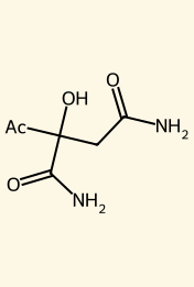 CC(=O)C(O)(CC(N)=O)C(N)=O